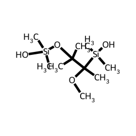 COC(C)(C(C)(C)O[Si](C)(C)O)[Si](C)(C)O